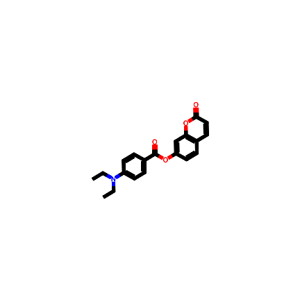 CCN(CC)c1ccc(C(=O)Oc2ccc3ccc(=O)oc3c2)cc1